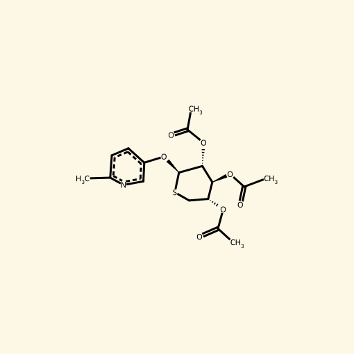 CC(=O)O[C@@H]1[C@@H](OC(C)=O)[C@H](OC(C)=O)CS[C@H]1Oc1ccc(C)nc1